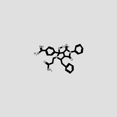 N=C(N)c1ccc(C2(OC(=O)O)C3C(=O)N(c4ccccc4)C(=O)C3C(Cc3ccccc3)N2CCC(N)=O)cc1